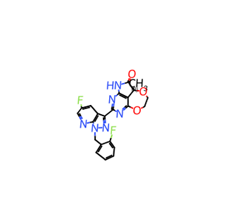 C[C@@]12OCCOc3nc(-c4nn(Cc5ccccc5F)c5ncc(F)cc45)nc(c31)NC2=O